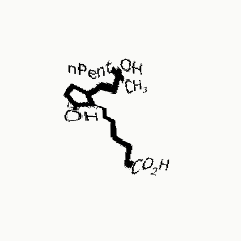 CCCCCC(C)(O)C=CC1CC[C@H](O)[C@@H]1CCC=CCCC(=O)O